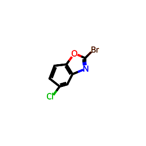 Clc1ccc2oc(Br)nc2c1